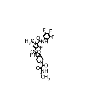 CCNC(=O)C(=O)N1CCC2(NS(=O)(=O)c3cn(C)c(C(=O)Nc4cc(F)c(F)c(F)c4)c3F)CC2C1